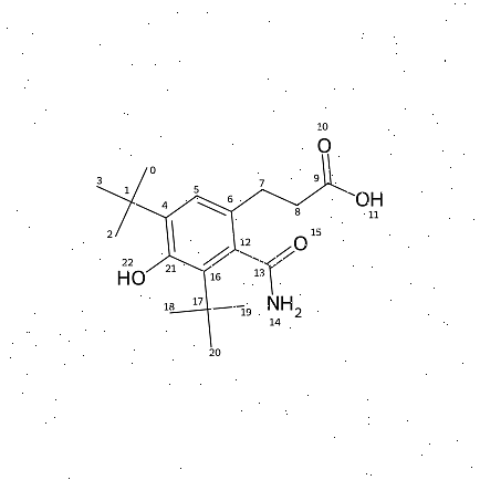 CC(C)(C)c1cc(CCC(=O)O)c(C(N)=O)c(C(C)(C)C)c1O